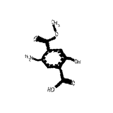 COC(=O)c1cc(O)c(C(=O)O)cc1N